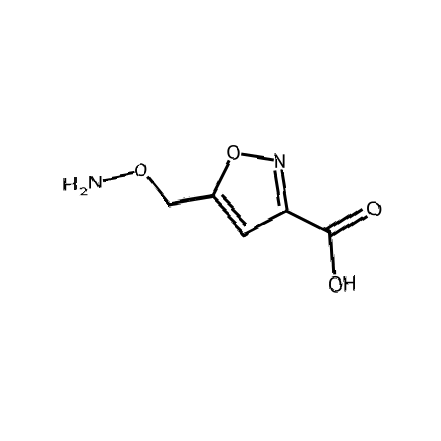 NOCc1cc(C(=O)O)no1